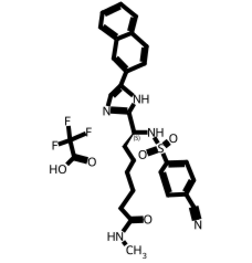 CNC(=O)CCCCC[C@H](NS(=O)(=O)c1ccc(C#N)cc1)c1ncc(-c2ccc3ccccc3c2)[nH]1.O=C(O)C(F)(F)F